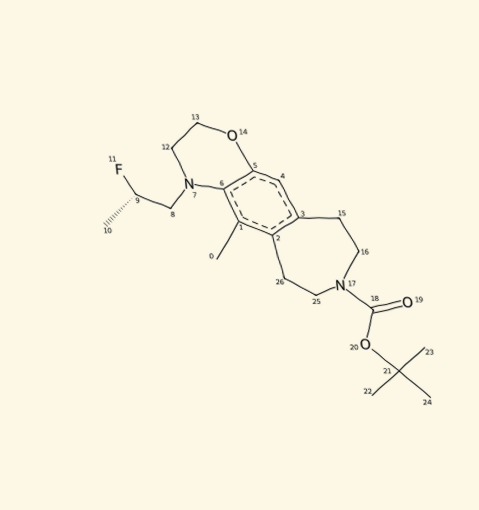 Cc1c2c(cc3c1N(C[C@H](C)F)CCO3)CCN(C(=O)OC(C)(C)C)CC2